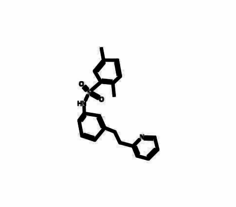 Cc1ccc(C)c(S(=O)(=O)Nc2cccc(CCc3ccccn3)c2)c1